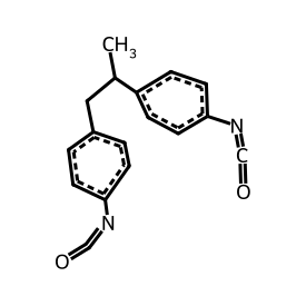 CC(Cc1ccc(N=C=O)cc1)c1ccc(N=C=O)cc1